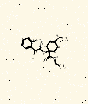 CCOC(=O)C1(OC(=O)C(Cl)c2ccccc2F)CCC(OC)CC1